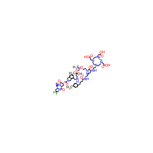 Cc1ccc(CCCC(=O)NCCCCC(NC(=O)CN2CCN(CC(=O)O)CCN(CC(=O)O)CCN(CC(=O)O)CC2)C(=O)NCCON(C)COC(C)(C)CCNCc2cccc3c2CN(C(=O)C[C@@H]2C[C@@H](C(=O)N4CC(F)(F)C[C@H]4C#N)NC2=O)C3)cc1